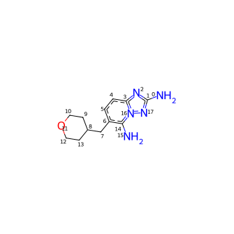 Nc1nc2ccc(CC3CCOCC3)c(N)n2n1